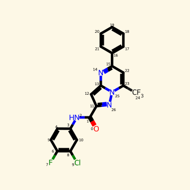 O=C(Nc1ccc(F)c(Cl)c1)c1cc2nc(-c3ccccc3)cc(C(F)(F)F)n2n1